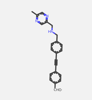 Cc1cnc(CNCc2ccc(C#Cc3ccc([C]=O)cc3)cc2)cn1